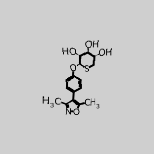 Cc1noc(C)c1-c1ccc(O[C@H]2SC[C@@H](O)[C@H](O)[C@H]2O)cc1